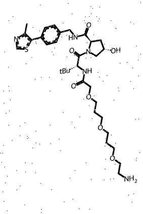 Cc1ncsc1-c1ccc(CNC(=O)[C@H]2C[C@H](O)CN2C(=O)[C@H](NC(=O)COCCCOCCCOCCN)C(C)(C)C)cc1